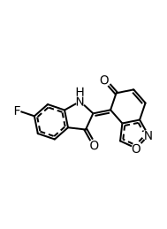 O=C1C=Cc2nocc2C1=C1Nc2cc(F)ccc2C1=O